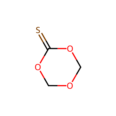 S=C1OCOCO1